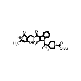 COc1cc(C)[nH]c(=O)c1CNC(=O)c1c(C)n(C(C)C2CCN(C(=O)OCC(C)C)CC2)c2ccccc12